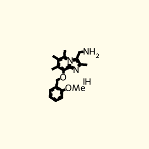 COc1ccccc1COc1c(C)c(C)c(C)n2c(CN)c(C)nc12.I